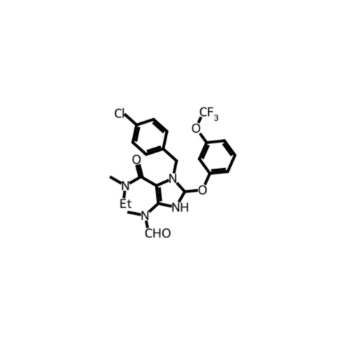 CCN(C)C(=O)C1=C(N(C)C=O)NC(Oc2cccc(OC(F)(F)F)c2)N1Cc1ccc(Cl)cc1